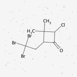 CC1(C)C(Cl)C(=O)C1CC(Br)(Br)Br